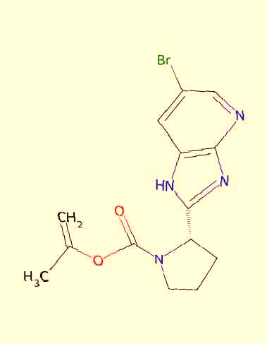 C=C(C)OC(=O)N1CCC[C@H]1c1nc2ncc(Br)cc2[nH]1